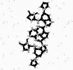 Cc1cnc(Nc2cc(-n3cccc3)cc3ncn(-c4nc5ncnc6nc(-n7cnc8cc(-n9cccc9)cc(Nc9ncc(C)n9C)c87)c7ccc4c7n56)c23)n1C